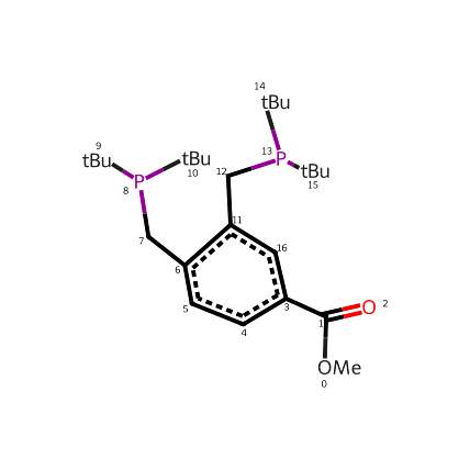 COC(=O)c1ccc(CP(C(C)(C)C)C(C)(C)C)c(CP(C(C)(C)C)C(C)(C)C)c1